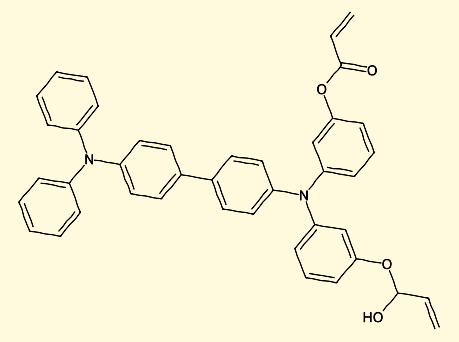 C=CC(=O)Oc1cccc(N(c2ccc(-c3ccc(N(c4ccccc4)c4ccccc4)cc3)cc2)c2cccc(OC(O)C=C)c2)c1